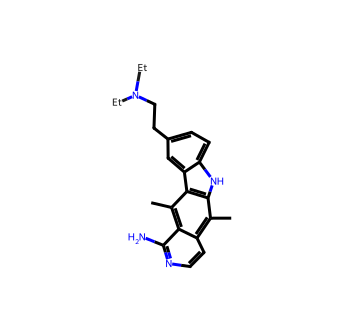 CCN(CC)CCc1ccc2[nH]c3c(C)c4ccnc(N)c4c(C)c3c2c1